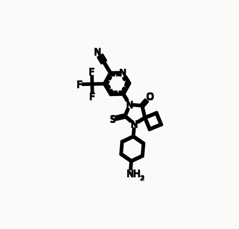 N#Cc1ncc(N2C(=O)C3(CCC3)N(C3CCC(N)CC3)C2=S)cc1C(F)(F)F